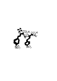 C[Si](C)(C)OC(=CCc1ccc([N+](=O)[O-])cc1)C(=[N+]=[N-])C(=O)O.[N-]=[N+]=C(C(=O)O)C(=O)CCc1ccc([N+](=O)[O-])cc1